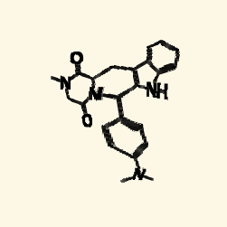 CN1CC(=O)N2C(Cc3c([nH]c4ccccc34)C2c2ccc(N(C)C)cc2)C1=O